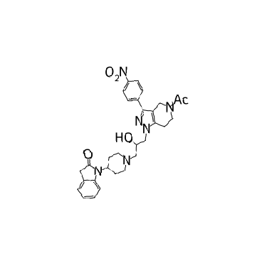 CC(=O)N1CCc2c(c(-c3ccc([N+](=O)[O-])cc3)nn2CC(O)CN2CCC(N3C(=O)Cc4ccccc43)CC2)C1